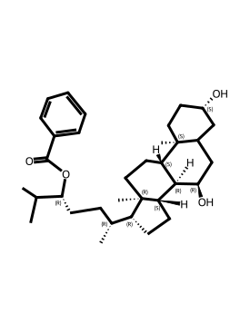 CC(C)[C@@H](CC[C@@H](C)[C@H]1CC[C@H]2[C@@H]3[C@H](O)CC4C[C@@H](O)CC[C@]4(C)[C@H]3CC[C@]12C)OC(=O)c1ccccc1